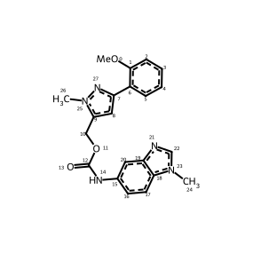 COc1ccccc1-c1cc(COC(=O)Nc2ccc3c(c2)ncn3C)n(C)n1